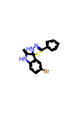 C=C1Nc2ccc(Br)cc2C12NN=C(c1ccccc1)S2